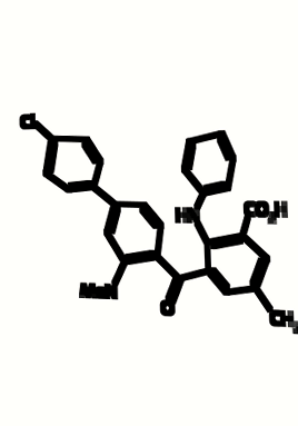 CNc1cc(-c2ccc(Cl)cc2)ccc1C(=O)c1cc(C)cc(C(=O)O)c1Nc1ccccc1